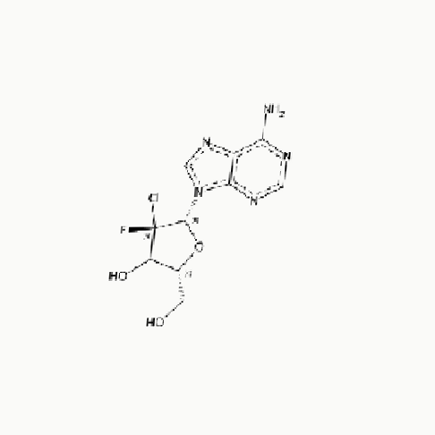 Nc1ncnc2c1ncn2[C@@H]1O[C@H](CO)C(O)[C@]1(F)Cl